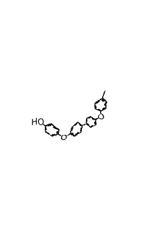 Cc1ccc(Oc2ccc(-c3ccc(Oc4ccc(O)cc4)cc3)cc2)cc1